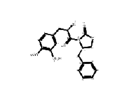 CC[C@H](Cc1ccc(OC)c(C(=O)O)c1)C(=O)N1C(=O)OC[C@H]1Cc1ccccc1